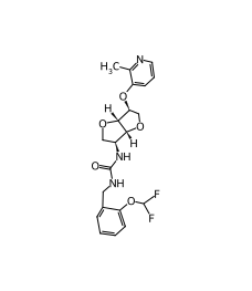 Cc1ncccc1O[C@H]1CO[C@H]2[C@@H]1OC[C@@H]2NC(=O)NCc1ccccc1OC(F)F